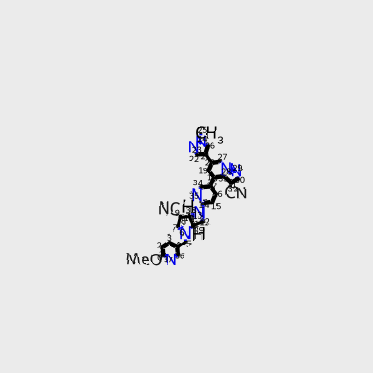 COc1ccc(CN2C[C@@H](C#N)[C@H]3[C@@H]2CN3c2ccc(-c3cc(-c4cnn(C)c4)cn4ncc(C#N)c34)cn2)cn1